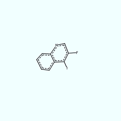 Fc1cnc2ccccc2c1I